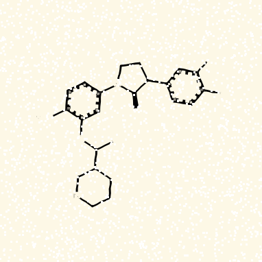 COc1ccc(N2CCC(c3ccc(Cl)c(Cl)c3)C2=O)cc1OC(C)C1CCCNC1